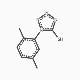 Cc1ccc(C)c(-n2nnnc2S)c1